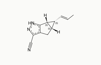 CC=C[C@@H]1[C@@H]2Cc3c(C#N)n[nH]c3[C@H]12